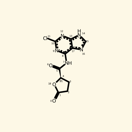 O=C1CC[C@H](C(=O)Nc2nc(Cl)nc3[nH]cnc23)O1